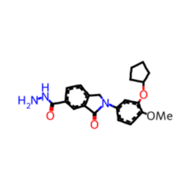 COc1ccc(N2Cc3ccc(C(=O)NN)cc3C2=O)cc1OC1CCCC1